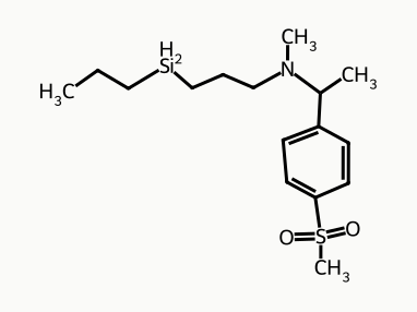 CCC[SiH2]CCCN(C)C(C)c1ccc(S(C)(=O)=O)cc1